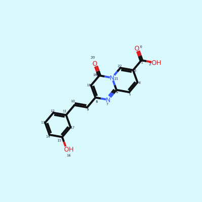 O=C(O)c1ccc2nc(/C=C/c3cccc(O)c3)cc(=O)n2c1